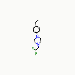 CCc1ccc(N2CCN(CC(F)F)CC2)cc1